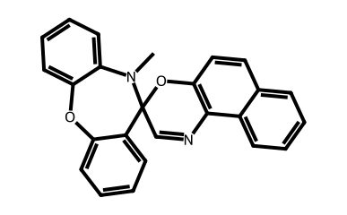 CN1c2ccccc2Oc2ccccc2C12C=Nc1c(ccc3ccccc13)O2